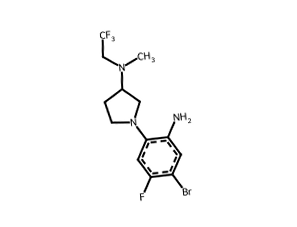 CN(CC(F)(F)F)C1CCN(c2cc(F)c(Br)cc2N)C1